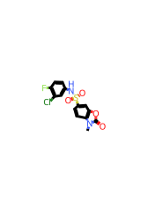 Cn1c(=O)oc2cc(S(=O)(=O)Nc3ccc(F)c(Cl)c3)ccc21